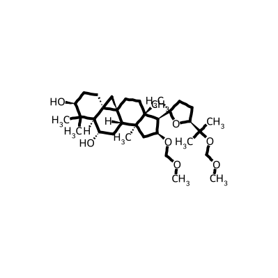 COCO[C@H]1C[C@@]2(C)[C@@H]3C[C@H](O)[C@H]4C(C)(C)[C@@H](O)CC[C@@]45C[C@@]35CC[C@]2(C)[C@H]1[C@@]1(C)CC[C@@H](C(C)(C)OCOC)O1